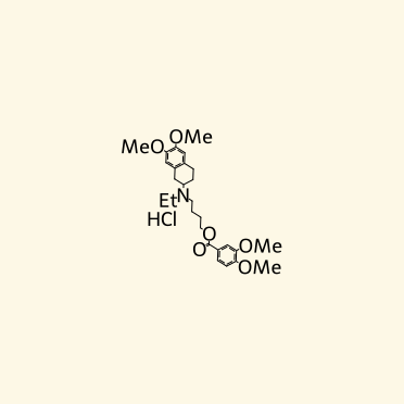 CCN(CCCCOC(=O)c1ccc(OC)c(OC)c1)C1CCc2cc(OC)c(OC)cc2C1.Cl